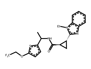 CCn1c([C@@H]2C[C@H]2C(=O)NC(C)c2ccc(OCC(F)(F)F)s2)nc2ccccc21